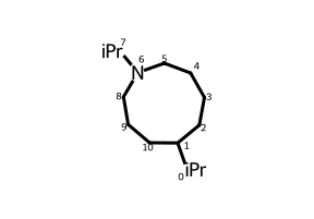 CC(C)C1CCCCN(C(C)C)CCC1